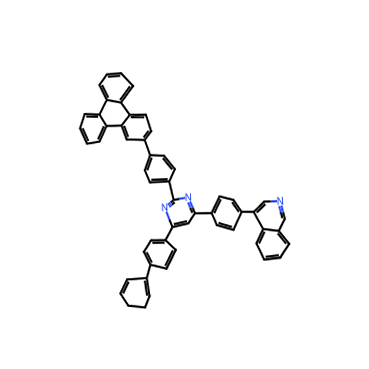 C1=CC(c2ccc(-c3cc(-c4ccc(-c5cncc6ccccc56)cc4)nc(-c4ccc(-c5ccc6c7ccccc7c7ccccc7c6c5)cc4)n3)cc2)=CCC1